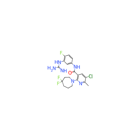 Cc1nc(N2CCCC(F)(F)CC2)c(C(=O)Nc2ccc(F)c(NC(=N)N)c2)cc1Cl